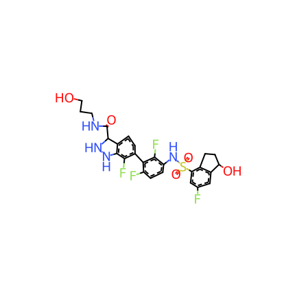 O=C(NCCCO)C1NNc2c1ccc(-c1c(F)ccc(NS(=O)(=O)c3cc(F)cc4c3CCC4O)c1F)c2F